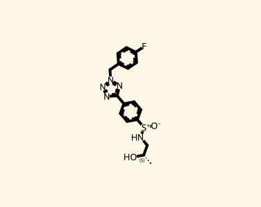 C[C@H](O)CN[S+]([O-])c1ccc(-c2nnn(Cc3ccc(F)cc3)n2)cc1